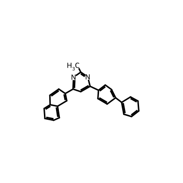 Cc1nc(-c2ccc(-c3ccccc3)cc2)cc(-c2ccc3ccccc3c2)n1